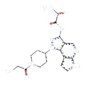 CNC(=O)C(=O)Nc1nn(C2CCN(C(=O)CC#N)CC2)c2c1cnc1[nH]ccc12